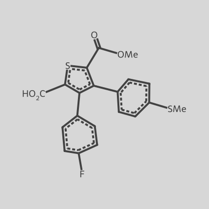 COC(=O)c1sc(C(=O)O)c(-c2ccc(F)cc2)c1-c1ccc(SC)cc1